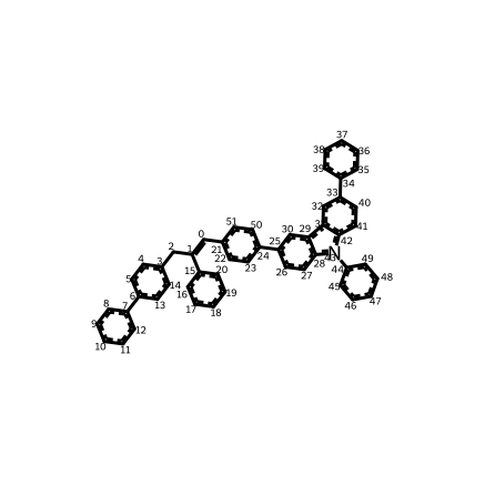 C(=C(\Cc1ccc(-c2ccccc2)cc1)c1ccccc1)/c1ccc(-c2ccc3c(c2)c2cc(-c4ccccc4)ccc2n3-c2ccccc2)cc1